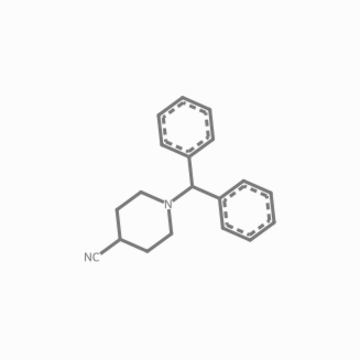 N#CC1CCN(C(c2ccccc2)c2ccccc2)CC1